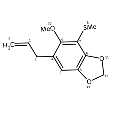 C=CCc1cc2c(c(SC)c1OC)OCO2